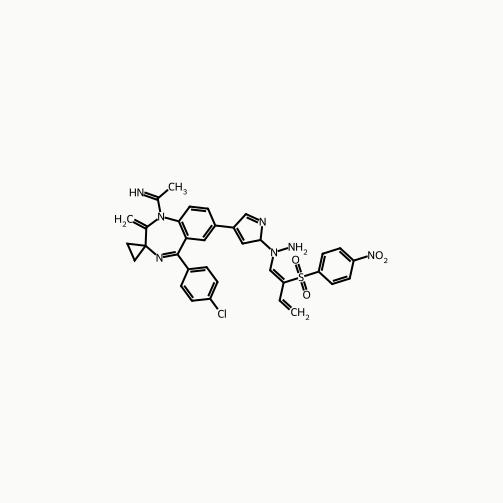 C=C/C(=C/N(N)C1C=C(c2ccc3c(c2)C(c2ccc(Cl)cc2)=NC2(CC2)C(=C)N3C(C)=N)C=N1)S(=O)(=O)c1ccc([N+](=O)[O-])cc1